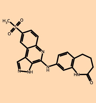 CS(=O)(=O)c1ccc2nc(Nc3ccc4c(c3)NC(=O)CCC4)c3[nH]ncc3c2c1